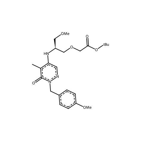 COC[C@@H](COCC(=O)OC(C)(C)C)Nc1cnn(Cc2ccc(OC)cc2)c(=O)c1C